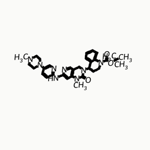 CN1CCN(c2ccc(Nc3cc4c(cn3)CN(C3CCN(C(=O)OC(C)(C)C)c5ccccc53)C(=O)N4C)nc2)CC1